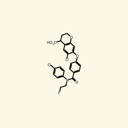 O=C(O)C1CCOc2cc(Oc3ccc(C(=O)N(CCF)c4ccc(Cl)cc4)cc3)c(Cl)cc21